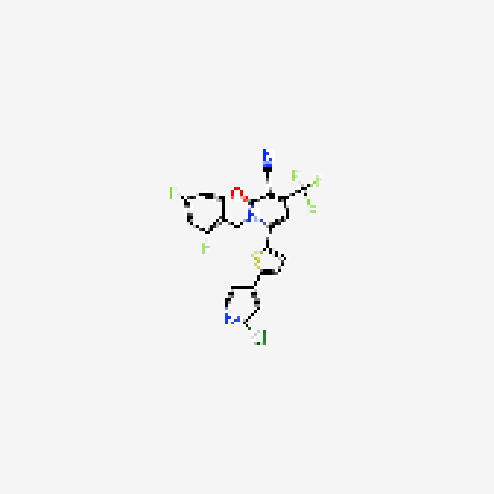 N#Cc1c(C(F)(F)F)cc(-c2ccc(-c3ccnc(Cl)c3)s2)n(Cc2ccc(F)cc2F)c1=O